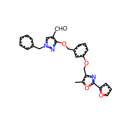 Cc1oc(-c2ccco2)nc1COc1cccc(COc2nn(Cc3ccccc3)cc2C=O)c1